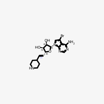 Nc1ncnc2c1c(Br)cn2[C@@H]1O[C@H](/C=C/C2CCNCC2)[C@@H](O)[C@H]1O